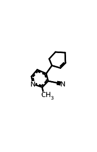 Cc1nccc(C2C=CCCC2)c1C#N